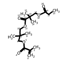 C=C(C)C(=O)OCC(C)(C)COC(=O)C(C)(C)COC(=O)CC